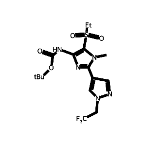 CCS(=O)(=O)c1c(NC(=O)OC(C)(C)C)nc(-c2cnn(CC(F)(F)F)c2)n1C